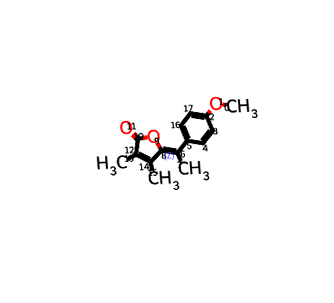 COc1ccc(/C(C)=C2\OC(=O)C(C)=C2C)cc1